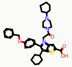 O=C(O)c1cc2c(s1)c(C1CCCCC1)c(-c1ccc(OCc3ccccc3)cc1)n2CC(=O)N1CCN(C2CCCCC2)CC1